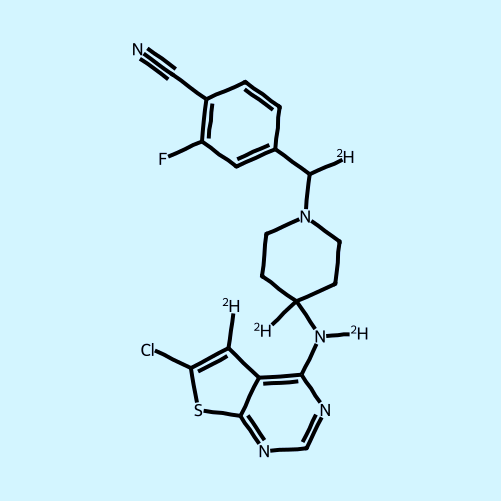 [2H]c1c(Cl)sc2ncnc(N([2H])C3([2H])CCN(C([2H])c4ccc(C#N)c(F)c4)CC3)c12